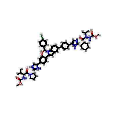 COC(=O)N[C@H](C(=O)N1CCC[C@H]1c1ncc(-c2ccc3c(c2)OC(c2ccc(F)cc2)n2c-3cc3cc(-c4ccc(-c5cnc([C@H]6CCCC[C@H]6C(=O)N(NC(=O)OC)C(C)C)[nH]5)cc4)ccc32)[nH]1)C(C)C